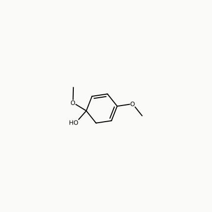 COC1=CCC(O)(OC)C=C1